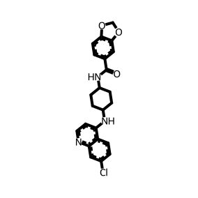 O=C(NC1CCC(Nc2ccnc3cc(Cl)ccc23)CC1)c1ccc2c(c1)OCO2